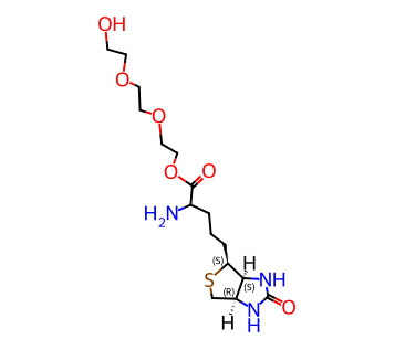 NC(CCC[C@@H]1SC[C@@H]2NC(=O)N[C@@H]21)C(=O)OCCOCCOCCO